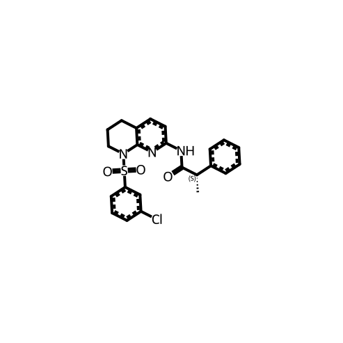 C[C@H](C(=O)Nc1ccc2c(n1)N(S(=O)(=O)c1cccc(Cl)c1)CCC2)c1ccccc1